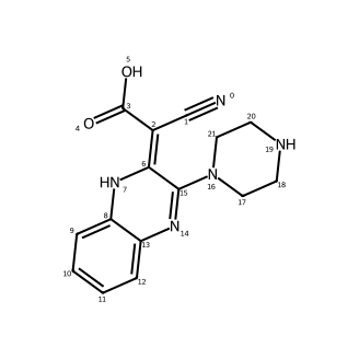 N#CC(C(=O)O)=C1Nc2ccccc2N=C1N1CCNCC1